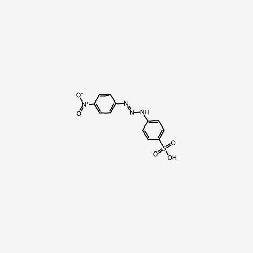 O=[N+]([O-])c1ccc(/N=N/Nc2ccc(S(=O)(=O)O)cc2)cc1